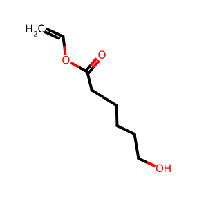 C=COC(=O)CCCCCO